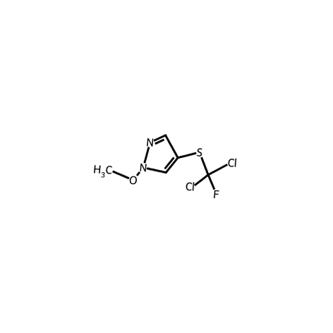 COn1cc(SC(F)(Cl)Cl)cn1